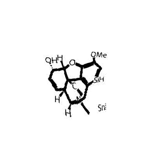 COc1c[siH]c2c3c1O[C@H]1[C@@H](O)C=C[C@H]4[C@@H](C2)N(C)CC[C@@]341.[Sn]